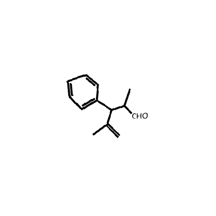 C=C(C)C(c1ccccc1)C(C)C=O